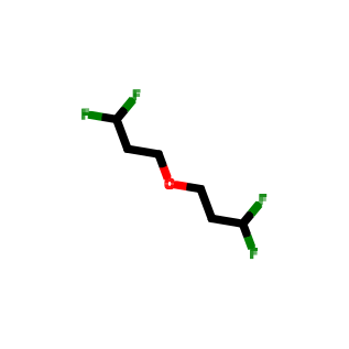 FC(F)CCOCCC(F)F